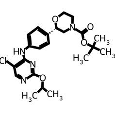 CC(C)Oc1ncc(Cl)c(Nc2ccc([C@H]3CN(C(=O)OC(C)(C)C)CCO3)cc2)n1